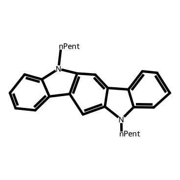 CCCCCn1c2ccccc2c2cc3c(cc21)c1ccccc1n3CCCCC